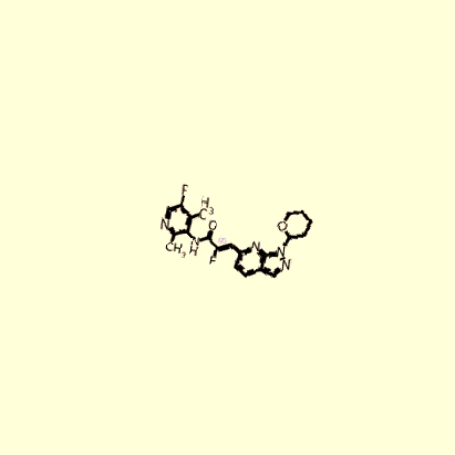 Cc1ncc(F)c(C)c1NC(=O)/C(F)=C/c1ccc2cnn(C3CCCCO3)c2n1